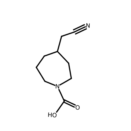 N#CCC1CCCN(C(=O)O)CC1